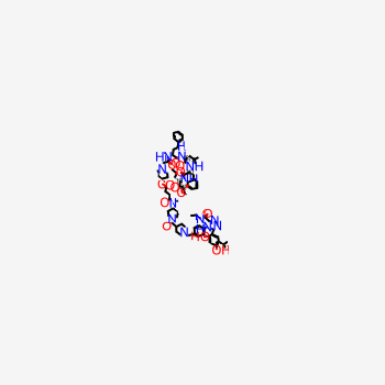 CCNC(=O)c1nnc(-c2cc(C(C)C)c(O)cc2O)n1-c1ccc(CN2CCC(C(=O)N3CCC(N(C)C(=O)CCC(=O)OC4CCN(CC(=O)NC(CCc5ccccc5)C(=O)N[C@@H](CC(C)C)C(=O)N[C@@H](Cc5ccccc5)C(=O)N[C@@H](CC(C)C)C(=O)[C@@]5(C)CO5)CC4)CC3)CC2)cc1